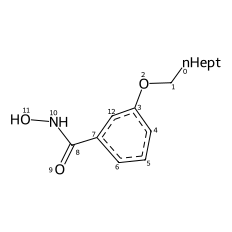 CCCCCCCCOc1cccc(C(=O)NO)c1